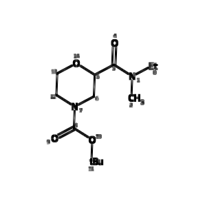 CCN(C)C(=O)C1CN(C(=O)OC(C)(C)C)CCO1